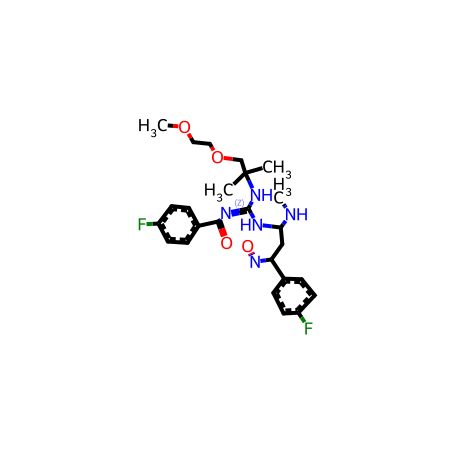 CNC(CC(N=O)c1ccc(F)cc1)N/C(=N\C(=O)c1ccc(F)cc1)NC(C)(C)COCCOC